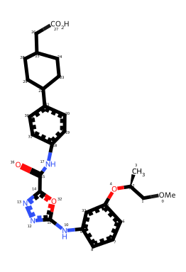 COC[C@H](C)Oc1cccc(Nc2nnc(C(=O)Nc3ccc(C4CCC(CC(=O)O)CC4)cc3)o2)c1